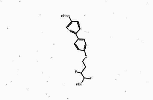 CCCCCCCCCc1cnc(-c2ccc(OCCC(F)C(F)CCCC)cc2)nc1